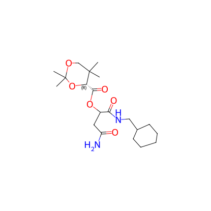 CC1(C)OCC(C)(C)[C@H](C(=O)OC(CC(N)=O)C(=O)NCC2CCCCC2)O1